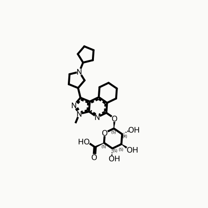 Cn1nc(C2CCN(C3CCCC3)C2)c2c3c(c(O[C@@H]4O[C@H](C(=O)O)[C@@H](O)[C@H](O)[C@H]4O)nc21)CCCC3